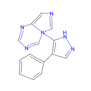 C1=NC=NC2=CN=C[N+]12c1[nH]ncc1-c1ccccc1